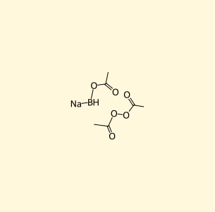 CC(=O)OOC(C)=O.CC(=O)O[BH][Na]